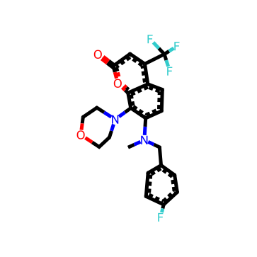 CN(Cc1ccc(F)cc1)c1ccc2c(C(F)(F)F)cc(=O)oc2c1N1CCOCC1